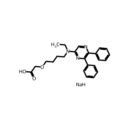 CCN(CCCCOCC(=O)O)c1cnc(-c2ccccc2)c(-c2ccccc2)n1.[NaH]